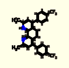 Cc1cc(-c2ccc(C(F)(F)F)cc2)c2ccc3c(-c4ccc(C(F)(F)F)cc4)cc(C)nc3c2n1